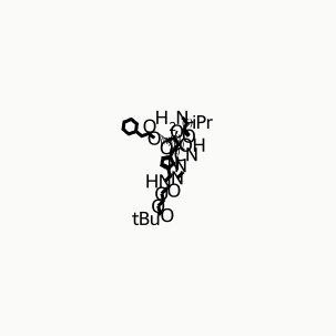 CC(C)[C@H](N)C(=O)O[C@H]1[C@@H](O)[C@](C#N)(c2ccc3c(NC(=O)OCOC(=O)C(C)(C)C)ncnn23)O[C@@H]1COC(=O)CC1CCCCC1